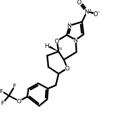 O=[N+]([O-])c1cn2c(n1)O[C@H]1CCC(Cc3ccc(OC(F)(F)F)cc3)OC1C2